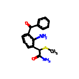 CSC(C(N)=O)c1cccc(C(=O)c2ccccc2)c1N